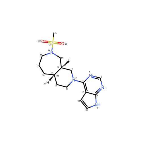 C[C@@]12CN(c3ncnc4[nH]ccc34)CC[C@@H]1CCCN(S(C)(=O)=O)C2